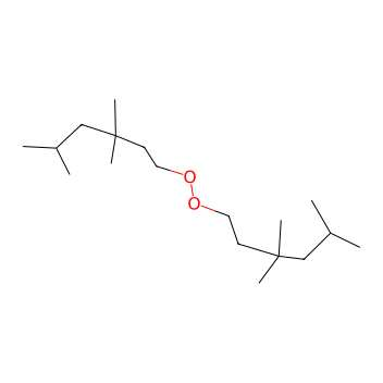 CC(C)CC(C)(C)CCOOCCC(C)(C)CC(C)C